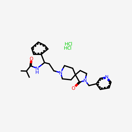 CC(C)C(=O)NC(CCN1CCC2(CC1)CCN(Cc1cccnc1)C2=O)c1ccccc1.Cl.Cl